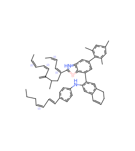 C=C(/C=C\C=C/C)C(C)C/C(=C/C=C\C)c1bc2c(-c3cc4c(cc3Nc3ccc(C=C/C=C\CCC)cc3)C=CCC4)cc(-c3c(C)cc(C)cc3C)cc2[nH]1